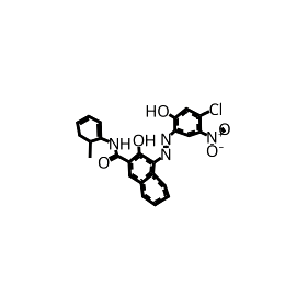 CC1CC=CC=C1NC(=O)c1cc2ccccc2c(N=Nc2cc([N+](=O)[O-])c(Cl)cc2O)c1O